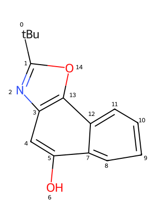 CC(C)(C)c1nc2cc(O)c3ccccc3c2o1